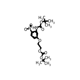 CC(C)(C)OC(=O)Nc1cc(OCCOC(=O)OC(C)(C)C)ccc1[N+](=O)[O-]